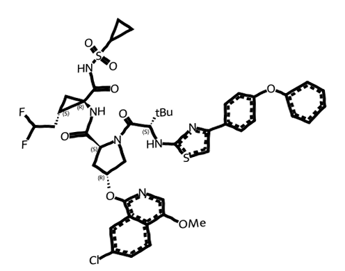 COc1cnc(O[C@@H]2C[C@@H](C(=O)N[C@]3(C(=O)NS(=O)(=O)C4CC4)C[C@H]3CC(F)F)N(C(=O)[C@@H](Nc3nc(-c4ccc(Oc5ccccc5)cc4)cs3)C(C)(C)C)C2)c2cc(Cl)ccc12